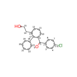 O=C(c1ccc(Cl)cc1)c1cccc(CCO)c1-c1ccccc1